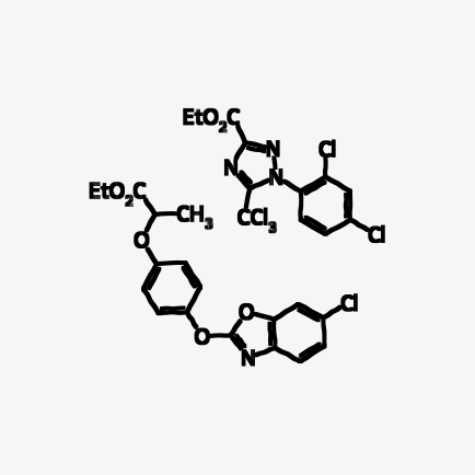 CCOC(=O)C(C)Oc1ccc(Oc2nc3ccc(Cl)cc3o2)cc1.CCOC(=O)c1nc(C(Cl)(Cl)Cl)n(-c2ccc(Cl)cc2Cl)n1